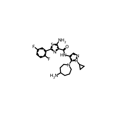 Nc1sc(-c2cc(F)ccc2F)nc1C(=O)Nc1cnn(C2CC2)c1N1CCCC(N)CC1